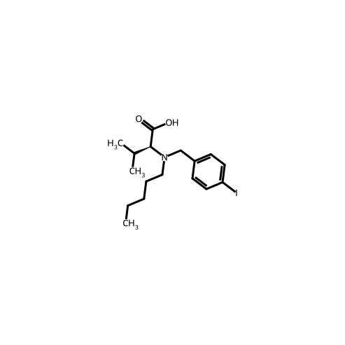 CCCCCN(Cc1ccc(I)cc1)[C@H](C(=O)O)C(C)C